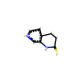 S=C1CCc2ccncc2[N]1